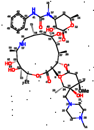 CC[C@H]1OC(=O)[C@H](C)[C@@H](O[C@H]2C[C@@](C)(OC)[C@](O)(CN3CCN(C)CC3)[C@H](C)O2)[C@H](C)[C@@H](O[C@@H]2O[C@H](C)C[C@H](N(C)C(=O)Nc3ccccc3)[C@H]2O)[C@](C)(O)C[C@@H](C)CN[C@H](C)[C@@H](O)[C@]1(C)O